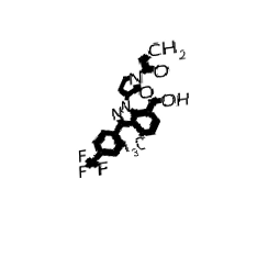 C=CC(=O)N1CCC(n2nc(-c3ccc(C(F)(F)F)cc3)c3c(C)ccc(C(=O)O)c32)C1